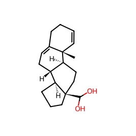 C[C@]12C=CCCC1=CC[C@H]1[C@@H]3CCC[C@@]3(C(O)O)CC[C@@H]12